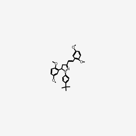 COc1ccc(OC)c(C=CC2=NN(c3ccc(C(C)(C)C)cc3)C(c3cc(OC)ccc3OC)C2)c1